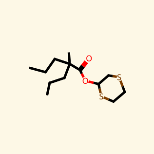 CCCC(C)(CCC)C(=O)OC1CSCCS1